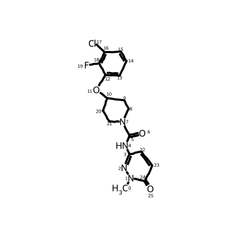 Cn1nc(NC(=O)N2CCC(Oc3cccc(Cl)c3F)CC2)ccc1=O